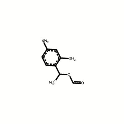 CC(OC=O)c1ccc(N)cc1N